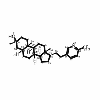 C[C@@]1(O)CC[C@H]2[C@H](CC[C@@H]3[C@@H]2CC[C@]2(C)[C@@H](CCc4ccc(C(F)(F)F)nc4)CC[C@@H]32)C1